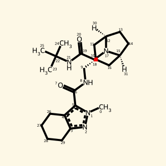 Cn1nc2c(c1C(=O)NC[C@@H]1C[C@H]3CC[C@@H](C1)N3CC(=O)NC(C)(C)C)CCCC2